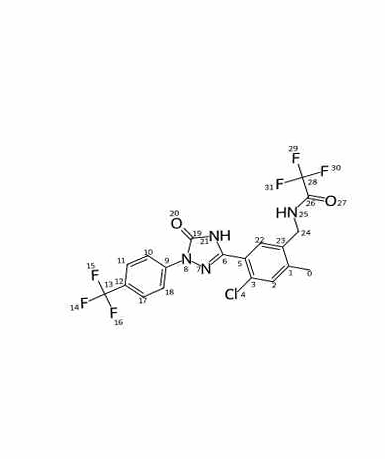 Cc1cc(Cl)c(-c2nn(-c3ccc(C(F)(F)F)cc3)c(=O)[nH]2)cc1CNC(=O)C(F)(F)F